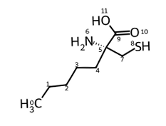 CCCCC[C@](N)(CS)C(=O)O